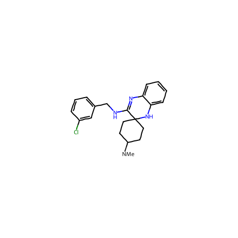 CNC1CCC2(CC1)Nc1ccccc1N=C2NCc1cccc(Cl)c1